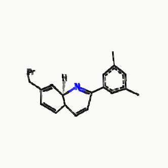 Cc1cc(C)cc(C2=N[C@@H]3C=C(CC(C)C)C=CC3C=C2)c1